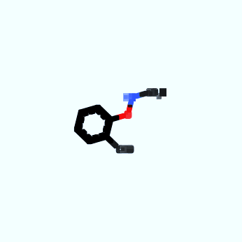 O=Cc1ccccc1ONS(=O)(=O)O